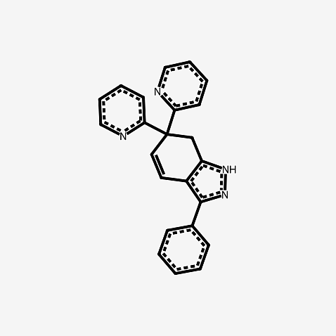 C1=CC(c2ccccn2)(c2ccccn2)Cc2[nH]nc(-c3ccccc3)c21